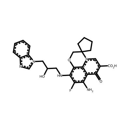 Nc1c(F)c(NCC(O)Cn2cnc3ccccc32)c2c3c1c(=O)c(C(=O)O)cn3C1(CCCC1)CO2